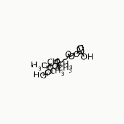 C[C@@H]1C2C[C@H](O)CC[C@]2(C)C2C[C@H](C)[C@]3(C)C(CCCC(=O)OCOC45CC6CC(CC(O)(C6)C4)C5)CCC3C2[C@@H]1C